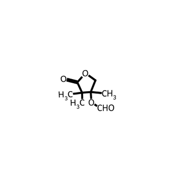 CC1(OC=O)COC(=O)C1(C)C